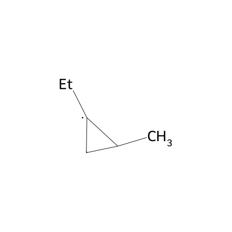 CC[C]1CC1C